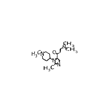 Cc1ncc(C(=O)/C=C/N(C)C)n1C1CCN(C)CC1